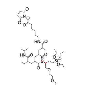 CCOCCOCCOC(=O)C(CC(C)C(=O)NCCCCCC(=O)ON1C(=O)CCC1=O)CC(CC(CC)C(=O)NC(C)C)C(=O)NCCC[Si](OCC)(OCC)OCC